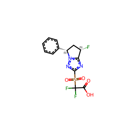 O=C(O)C(F)(F)S(=O)(=O)c1nc2n(n1)[C@H](c1ccccc1)C[C@@H]2F